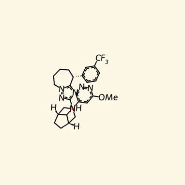 COc1cc(N2C[C@H]3CC[C@@H](C2)C3Nc2nc3n(n2)CCCC[C@@H]3c2cccc(C(F)(F)F)c2)cnn1